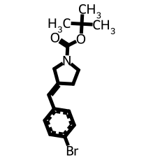 CC(C)(C)OC(=O)N1CC/C(=C\c2ccc(Br)cc2)C1